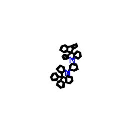 c1ccc(C2(c3ccccc3)c3ccccc3N(c3cccc(N4c5ccccc5C5(c6ccccc6-c6ccccc65)c5ccccc54)c3)c3ccccc32)cc1